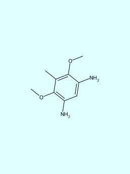 COc1c(N)cc(N)c(OC)c1C